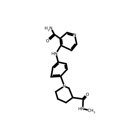 CNC(=O)C1CCCN(c2ccc(Nc3ccncc3C(N)=O)cc2)C1